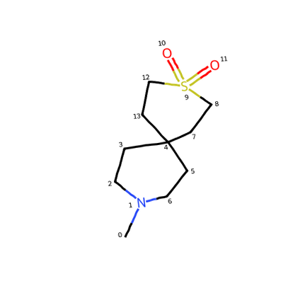 CN1CCC2(CC1)CCS(=O)(=O)CC2